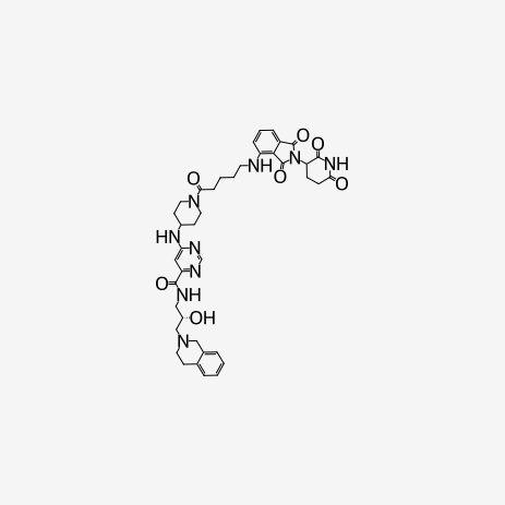 O=C1CCC(N2C(=O)c3cccc(NCCCCC(=O)N4CCC(Nc5cc(C(=O)NC[C@H](O)CN6CCc7ccccc7C6)ncn5)CC4)c3C2=O)C(=O)N1